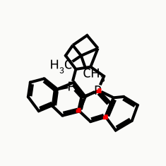 CC1(C)C2CC(P(c3ccccc3)c3ccccc3)C(CP(c3ccccc3)c3ccccc3)C1C2